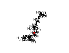 CC(O)(CC(=O)O)CC(=O)CCNC(=O)CCNC(=O)C(O)C(C)(C)COP(=O)(O)OP(=O)(O)OCC1OC(n2cnc3c(N)ncnc32)C(O)C1OP(=O)(O)O